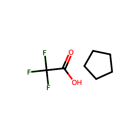 C1CCCC1.O=C(O)C(F)(F)F